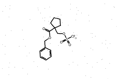 O=C(OCc1ccccc1)C1(COS(=O)(=O)C(F)(F)F)CCCC1